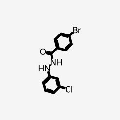 O=C(NNc1cccc(Cl)c1)c1ccc(Br)cc1